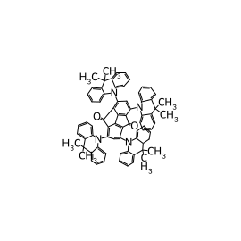 CC1(C)c2ccccc2N(c2cc(N3c4ccccc4C(C)(C)c4ccccc43)c3c4c2c(=O)c2c(N5C6=CC=CCC6C(C)(C)c6ccccc65)cc(N5c6ccccc6C(C)(C)c6ccccc65)c(c2-4)c3=O)c2ccccc21